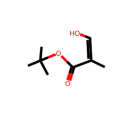 CC(=CO)C(=O)OC(C)(C)C